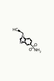 C#CCn1cnc2cc(S(N)(=O)=O)ccc21